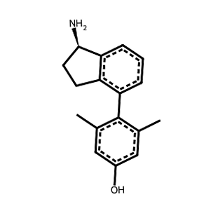 Cc1cc(O)cc(C)c1-c1cccc2c1CC[C@H]2N